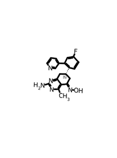 Cc1nc(N)nc2c1C(=NO)C[C@@H](c1ccc(F)cc1-c1cccnc1)C2